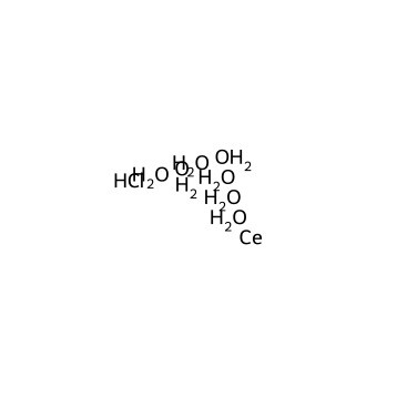 Cl.O.O.O.O.O.O.O.[Ce]